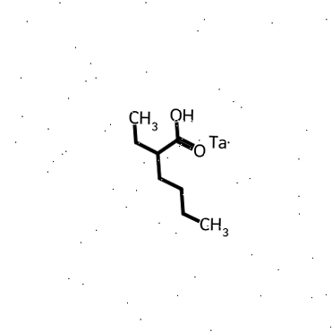 CCCCC(CC)C(=O)O.[Ta]